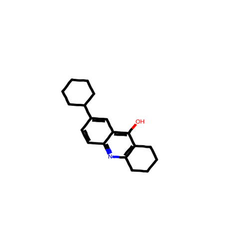 Oc1c2c(nc3ccc(C4CCCCC4)cc13)CCCC2